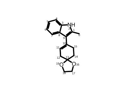 Cc1[nH]c2ccccc2c1C1=CCC2(CC1)OCCO2